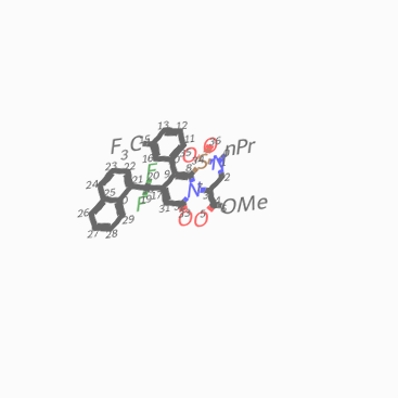 CCCN1CC(C(=O)OC)n2c(c(-c3cccc(C(F)(F)F)c3)c(C(F)(F)c3cccc4ccccc34)cc2=O)S1(=O)=O